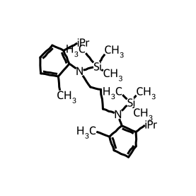 Cc1cccc(C(C)C)c1N(CCCN(c1c(C)cccc1C(C)C)[Si](C)(C)C)[Si](C)(C)C